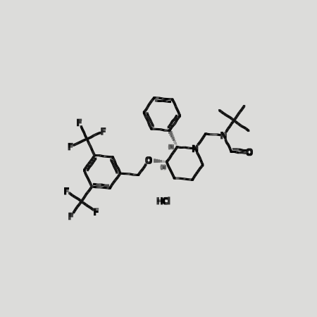 CC(C)(C)N(C=O)CN1CCC[C@H](OCc2cc(C(F)(F)F)cc(C(F)(F)F)c2)[C@@H]1c1ccccc1.Cl